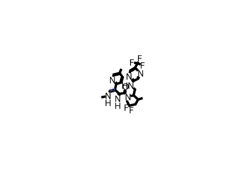 CN/C=C(\C(=N)C(=O)N1CC(F)(F)CC(C)C1CNc1cnc(C(F)(F)F)cn1)c1ccc(C)cn1